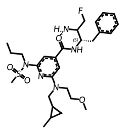 CCCN(c1cc(C(=O)N[C@@H](Cc2ccccc2)C(N)CF)cc(N(CCOC)CC2CC2C)n1)S(C)(=O)=O